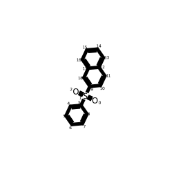 O=S(=O)(c1ccccc1)c1c[c]c2ccccc2c1